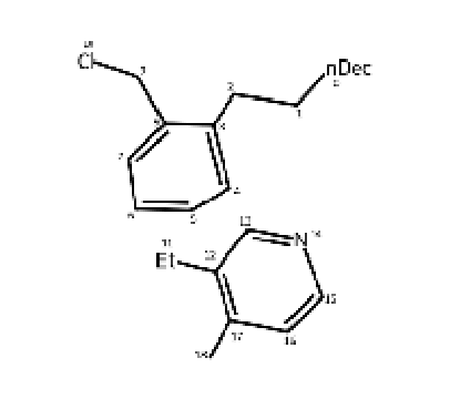 CCCCCCCCCCCCc1ccccc1CCl.CCc1cnccc1C